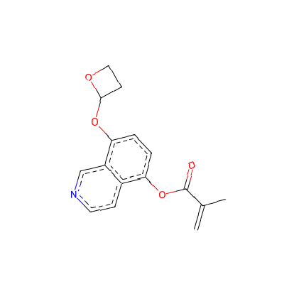 C=C(C)C(=O)Oc1ccc(OC2CCO2)c2cnccc12